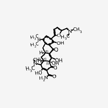 CN(C)CC1CC=C(c2cc(N(C)C)c3c(c2O)C(=O)C2=C(O)[C@]4(O)C(=O)C(C(N)=O)=C(O)C(N(C)C)[C@@H]4C[C@@H]2C3)O1